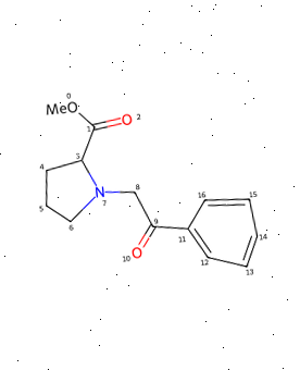 COC(=O)C1CCCN1CC(=O)c1ccccc1